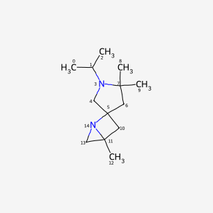 CC(C)N1CC2(CC1(C)C)CC1(C)CN12